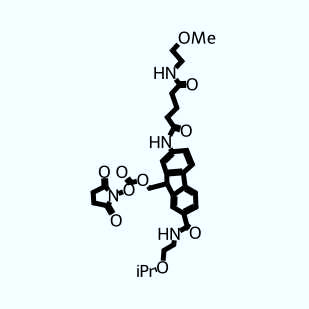 COCCNC(=O)CCCC(=O)Nc1ccc2c(c1)C(COC(=O)ON1C(=O)CCC1=O)c1cc(C(=O)NCCOC(C)C)ccc1-2